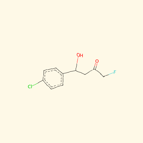 O=C(CF)CC(O)c1ccc(Cl)cc1